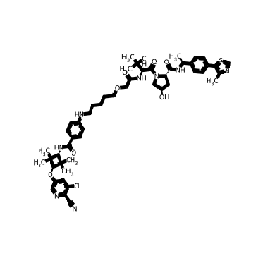 Cc1ncsc1-c1ccc([C@H](C)NC(=O)[C@@H]2C[C@@H](O)CN2C(=O)[C@@H](NC(=O)COCCCCCNc2ccc(C(=O)N[C@H]3C(C)(C)[C@H](Oc4cnc(C#N)c(Cl)c4)C3(C)C)cc2)C(C)(C)C)cc1